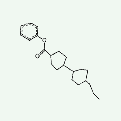 CCCC1CCC(C2CCC(C(=O)Oc3ccccc3)CC2)CC1